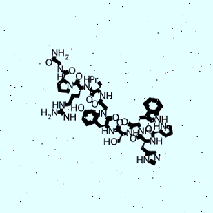 CC(C)C[C@H](NC(=O)CNC(=O)[C@H](Cc1ccc(O)cc1)NC(=O)[C@H](CO)NC(=O)[C@H](Cc1c[nH]c2ccccc12)NC(=O)[C@H](Cc1cnc[nH]1)NC(=O)[C@@H]1CCCN1)C(=O)N[C@@H](CCCNC(=N)N)C(=O)N1CCC[C@H]1C(=O)NCC(N)=O